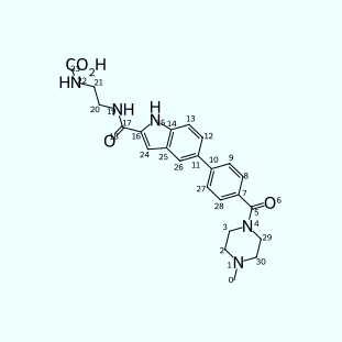 CN1CCN(C(=O)c2ccc(-c3ccc4[nH]c(C(=O)NCCNC(=O)O)cc4c3)cc2)CC1